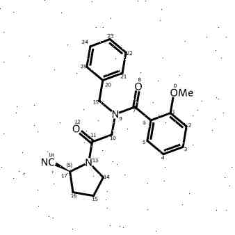 COc1ccccc1C(=O)N(CC(=O)N1CCC[C@H]1C#N)Cc1ccccc1